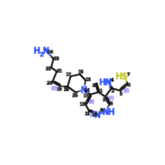 C=C1/C(C(=N)/C=C\S)=C\N/N=C\C=C/1N1CCCC(/C=C\CCCN)C1